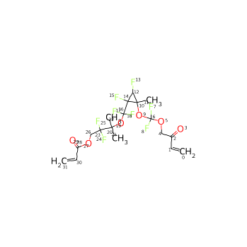 C=CC(=O)COC(F)(F)OC1(C)C(F)C1(F)C(F)(F)OC(C)(C)C(F)(F)COC(=O)C=C